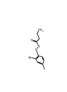 CCCC(=O)OOc1ccc(F)cc1Br